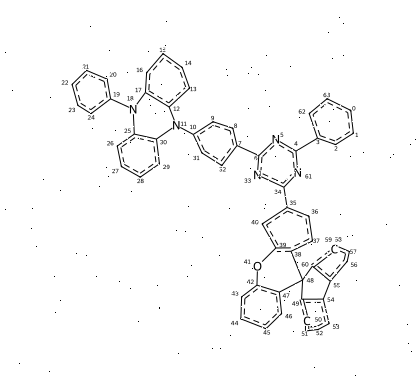 c1ccc(-c2nc(-c3ccc(N4c5ccccc5N(c5ccccc5)c5ccccc54)cc3)nc(-c3ccc4c(c3)Oc3ccccc3C43c4ccccc4-c4ccccc43)n2)cc1